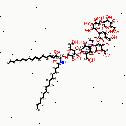 CCCCCCCCCCCCC/C=C/[C@@H](O)[C@H](CO[C@@H]1OC(CO)[C@@H](O[C@@H]2OC(CO)[C@H](O[C@@H]3OC(CO)[C@H](O)[C@H](O[C@@H]4OC(CO)[C@H](O)[C@H](O[C@H]5OC(CO)[C@H](O)[C@H](O)C5O)C4O[C@H]4OC(C)[C@@H](O)C(O)[C@@H]4O)C3NC(C)=O)[C@H](O)C2O)[C@H](O)C1O)NC(=O)CCCCCCCCCCCCCCC